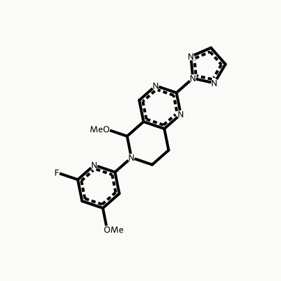 COc1cc(F)nc(N2CCc3nc(-n4nccn4)ncc3C2OC)c1